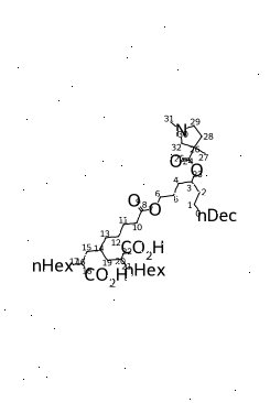 CCCCCCCCCCCCC(CCCOC(=O)CCCCC(CC(CCCCCC)C(=O)O)CC(CCCCCC)C(=O)O)OC(=O)C1(C)CCN(C)C1